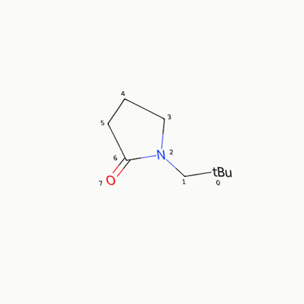 CC(C)(C)CN1CCCC1=O